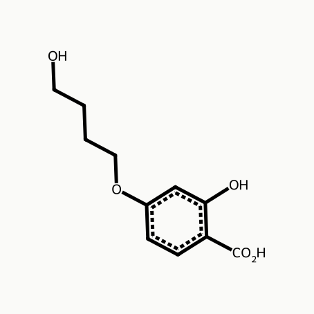 O=C(O)c1ccc(OCCCCO)cc1O